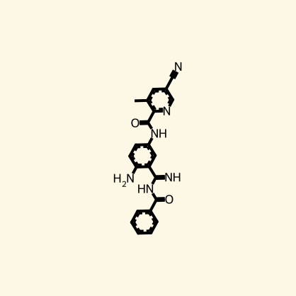 Cc1cc(C#N)cnc1C(=O)Nc1ccc(N)c(C(=N)NC(=O)c2ccccc2)c1